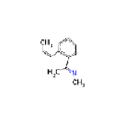 C/C=C\c1ccccc1/C(C)=N/C